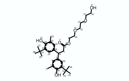 Cc1cc(C(CC(=O)OCCOCCOCCO)c2cc(C)c(O)c(C(C)(C)C)c2)cc(C(C)(C)C)c1O